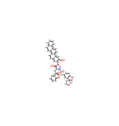 O=S(=O)(Cc1ccc2c(c1)C1(CCOC1)OC2)NC(Cc1coc2ccccc12)B(O)Oc1cc2ccc3c(ccc4c5ccccc5ccc43)c2cc1O